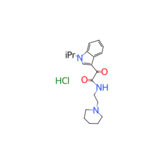 CC(C)n1cc(C(=O)C(=O)NCCN2CCCCC2)c2ccccc21.Cl